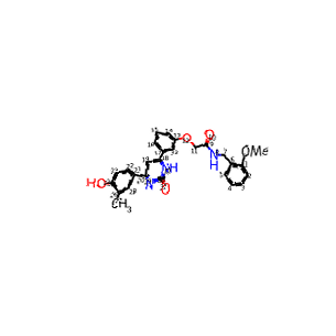 COc1ccccc1CNC(=O)COc1cccc(-c2cc(-c3ccc(O)c(C)c3)nc(=O)[nH]2)c1